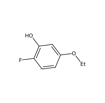 CCOc1c[c]c(F)c(O)c1